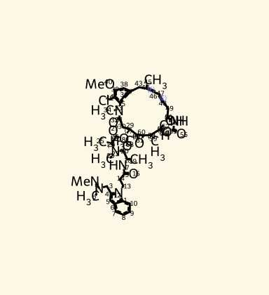 CNN(C)Cc1cc2ccccc2n1CCC(=O)NC(C)C(=O)N(C)[C@@H](C)C(=O)O[C@H]1CC(=O)N(C)c2cc(cc(OC)c2Cl)C/C(C)=C/C=C/C[C@@]2(O)C[C@H](OC(=O)N2)[C@@H](C)C2O[C@]21C